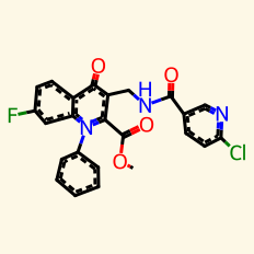 COC(=O)c1c(CNC(=O)c2ccc(Cl)nc2)c(=O)c2ccc(F)cc2n1-c1ccccc1